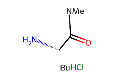 CC[C@H](C)[C@H](N)C(=O)NC.Cl